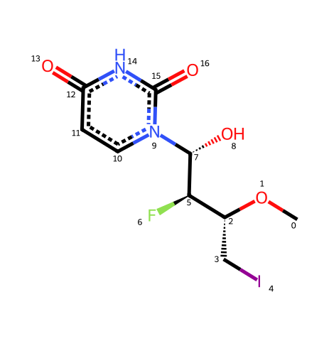 CO[C@H](CI)[C@@H](F)[C@@H](O)n1ccc(=O)[nH]c1=O